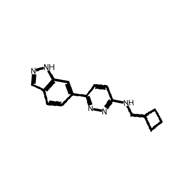 [CH]1CCC1CNc1ccc(-c2ccc3cn[nH]c3c2)nn1